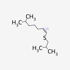 CC(C)CCC/C=C\SCC(C)C